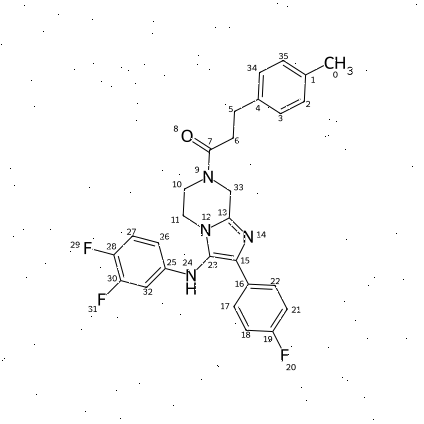 Cc1ccc(CCC(=O)N2CCn3c(nc(-c4ccc(F)cc4)c3Nc3ccc(F)c(F)c3)C2)cc1